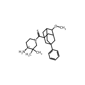 COC1C2CC3(C(=S)N4CC[C@H](N)C(C)(C)C4)CC1CC(c1ccccc1)(C2)C3